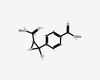 CCC1(c2ccc(C(=O)OC)cc2)OC1C(=O)OC